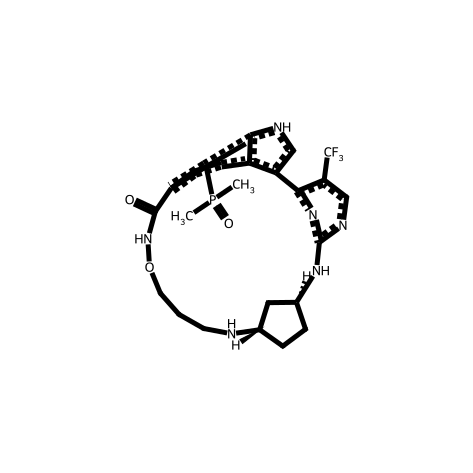 CP(C)(=O)c1c2ccc3c(c[nH]c13)-c1nc(ncc1C(F)(F)F)N[C@H]1CC[C@@H](C1)NCCCONC2=O